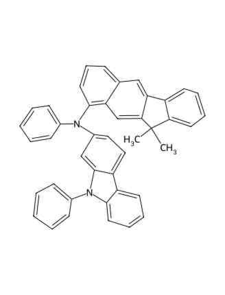 CC1(C)c2ccccc2-c2cc3cccc(N(c4ccccc4)c4ccc5c6ccccc6n(-c6ccccc6)c5c4)c3cc21